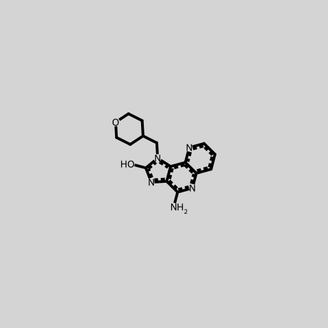 Nc1nc2cccnc2c2c1nc(O)n2CC1CCOCC1